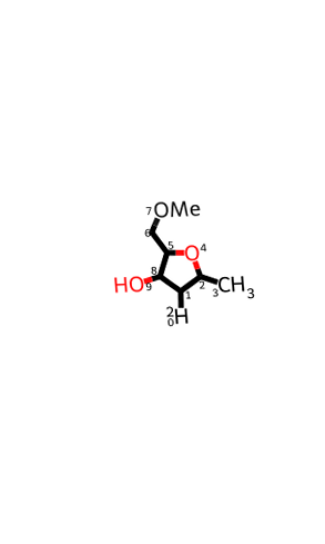 [2H]C1C(C)OC(COC)C1O